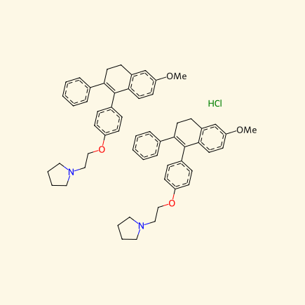 COc1ccc2c(c1)CCC(c1ccccc1)=C2c1ccc(OCCN2CCCC2)cc1.COc1ccc2c(c1)CCC(c1ccccc1)=C2c1ccc(OCCN2CCCC2)cc1.Cl